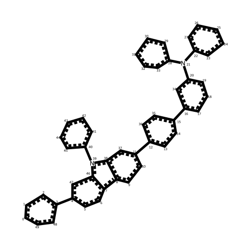 c1ccc(-c2ccc3c4ccc(-c5ccc(-c6cccc(N(c7ccccc7)c7ccccc7)c6)cc5)cc4n(-c4ccccc4)c3c2)cc1